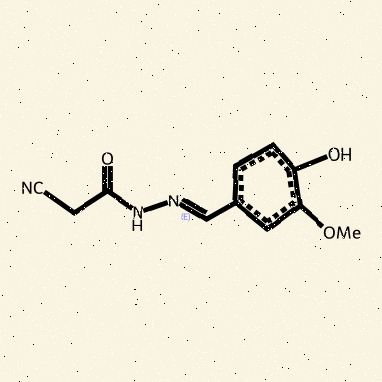 COc1cc(/C=N/NC(=O)CC#N)ccc1O